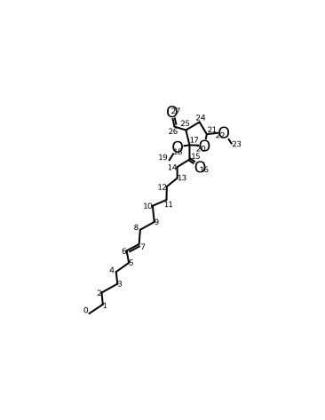 CCCCCCC=CCCCCCCCC(=O)C1(OC)OC(OC)CC1C=O